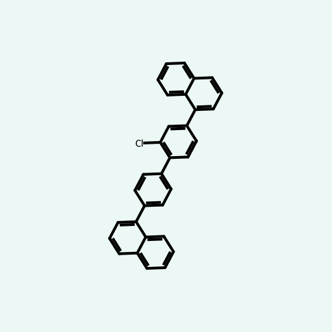 Clc1cc(-c2cccc3ccccc23)ccc1-c1ccc(-c2cccc3ccccc23)cc1